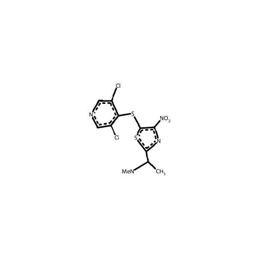 CNC(C)c1nc([N+](=O)[O-])c(Sc2c(Cl)cncc2Cl)s1